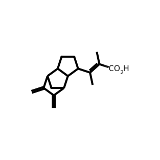 C=C1C(=C)C2CC1C1CCC(C(C)=C(C)C(=O)O)C21